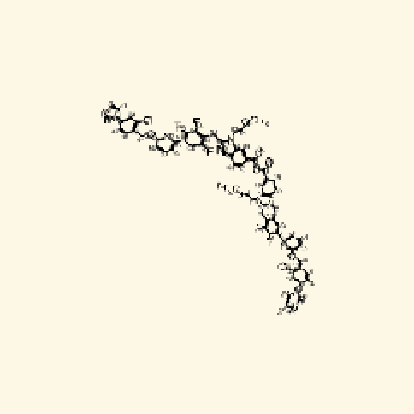 COCCn1c(Cc2c(F)cc(-c3cccc(OCc4ccc(-n5ccnn5)cc4Cl)n3)c(F)c2F)nc2ccc(C(=O)OC(=O)c3ccc4nc(Cc5c(F)cc(-c6cccc(OCc7ccc(-n8ccnn8)cc7Cl)n6)c(F)c5F)n(CCOC)c4c3)cc21